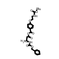 CC(C)(C)OC(=O)NCCOc1ccc(C(=O)OC(=O)C[C@@H](N)NC(=O)OCc2ccccc2)cc1